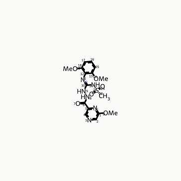 COc1cncc(C(=O)NN/C(=N/c2c(OC)cccc2OC)NS(C)(=O)=O)n1